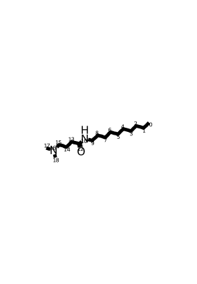 CCCCCCCCCCNC(=O)CCCN(C)C